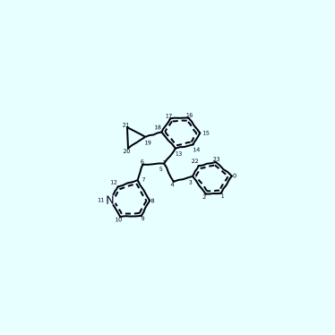 c1ccc(C[C](Cc2cccnc2)c2ccccc2C2CC2)cc1